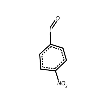 O=Ic1ccc([N+](=O)[O-])cc1